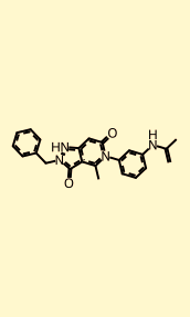 C=C(C)Nc1cccc(-n2c(C)c3c(=O)n(Cc4ccccc4)[nH]c3cc2=O)c1